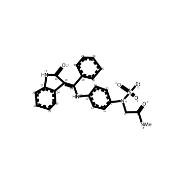 CCS(=O)(=O)N(CC(=O)NC)c1ccc(NC(=C2C(=O)Nc3ccccc32)c2ccccc2)cc1